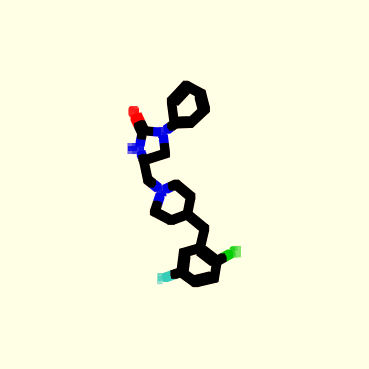 O=C1NC(CN2CCC(Cc3cc(F)ccc3Cl)CC2)CN1c1ccccc1